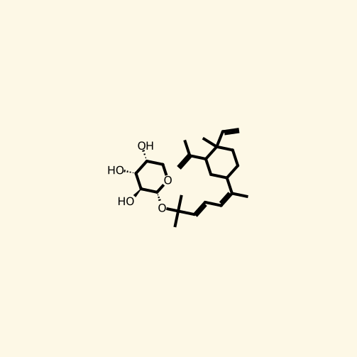 C=CC1(C)CCC(/C(C)=C\C=C\C(C)(C)O[C@H]2OC[C@@H](O)[C@@H](O)[C@@H]2O)CC1C(=C)C